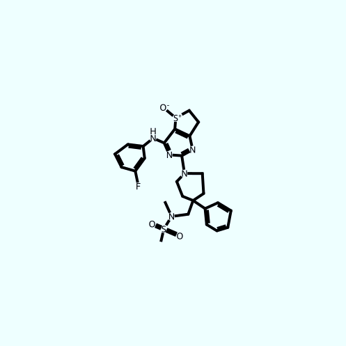 CN(CC1(c2ccccc2)CCN(c2nc3c(c(Nc4cccc(F)c4)n2)[S+]([O-])CC3)CC1)S(C)(=O)=O